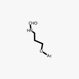 CC(=O)OCCCN[C]=O